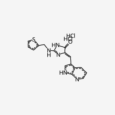 Cl.Cl.O=C1NC(NCc2cccs2)=NC1=Cc1c[nH]c2ncccc12